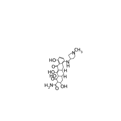 CN1CCC(Nc2ccc(O)c3c2C[C@H]2C[C@H]4CC(O)C(C(N)=O)C(=O)[C@@]4(O)C(O)=C2C3=O)CC1